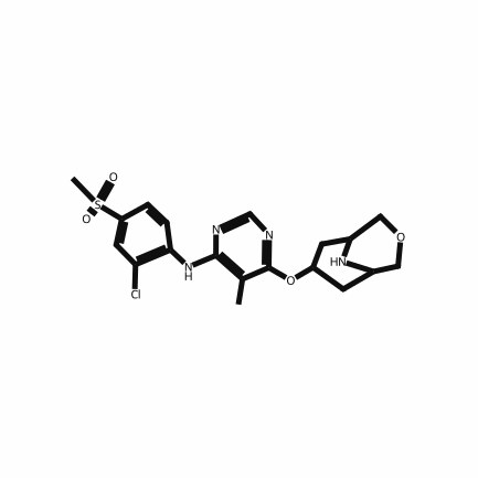 Cc1c(Nc2ccc(S(C)(=O)=O)cc2Cl)ncnc1OC1CC2COCC(C1)N2